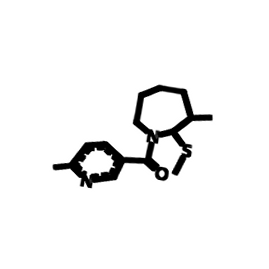 CSC1C(C)CCCCN1C(=O)c1ccc(C)nc1